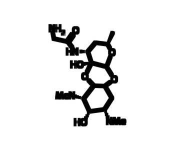 CN[C@H]1CC2OC3O[C@H](C)C[C@@H](NC(=O)CN)[C@]3(O)OC2[C@@H](NC)[C@H]1O